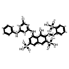 O=S(=O)(O)c1cc(Nc2nc(Cl)nc(Nc3ccccc3)n2)c2c(O)c(N=Nc3ccccc3S(=O)(=O)O)c(S(=O)(=O)O)cc2c1